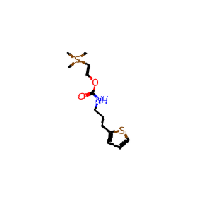 CS(C)(C)CCOC(=O)NCCCc1cccs1